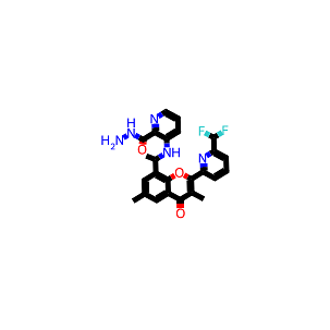 Cc1cc(C(C)Nc2cccnc2C(=O)NN)c2oc(-c3cccc(C(F)F)n3)c(C)c(=O)c2c1